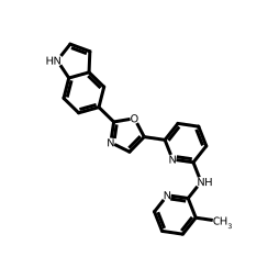 Cc1cccnc1Nc1cccc(-c2cnc(-c3ccc4[nH]ccc4c3)o2)n1